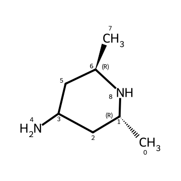 C[C@@H]1CC(N)C[C@@H](C)N1